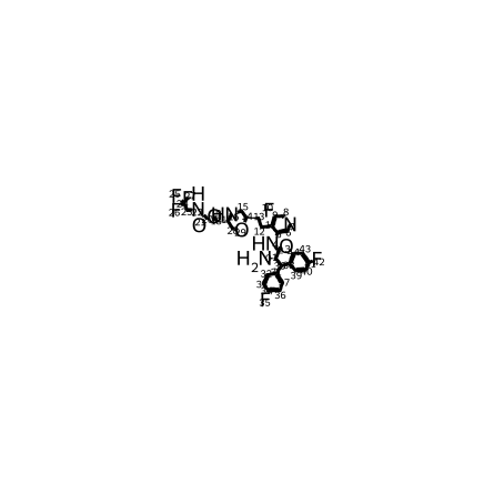 N[C@H](C(=O)Nc1cncc(F)c1CC[C@@H]1CN[C@@H](COC(=O)NCC(F)(F)F)CO1)C(c1ccc(F)cc1)c1ccc(F)cc1